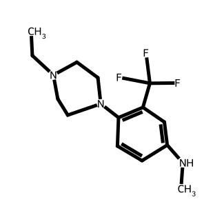 CCN1CCN(c2ccc(NC)cc2C(F)(F)F)CC1